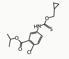 CC(C)OC(=O)c1cc(NC(=S)OCC2CC2)ccc1Cl